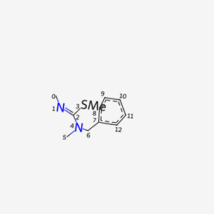 C/N=C(\SC)N(C)Cc1ccccc1